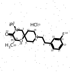 CC(C)N1CC2(CCN(CCc3cccc(F)c3)CC2)O[C@H](C)C1=O.Cl